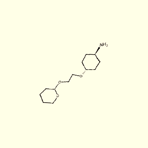 N[C@H]1CC[C@H](OCCOC2CCCCO2)CC1